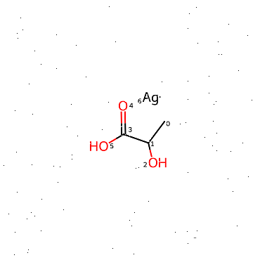 CC(O)C(=O)O.[Ag]